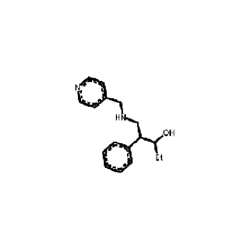 CCC(O)C(CNCc1ccncc1)c1ccccc1